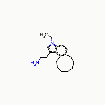 CCn1cc(CCN)c2c3c(ccc21)CCCCCCC3